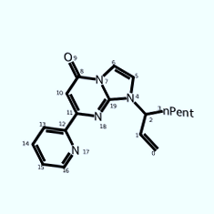 C=CC(CCCCC)n1ccn2c(=O)cc(-c3ccccn3)nc12